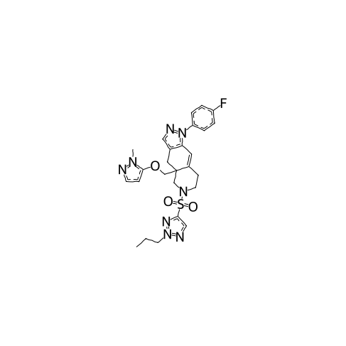 CCCn1ncc(S(=O)(=O)N2CCC3=Cc4c(cnn4-c4ccc(F)cc4)CC3(COc3ccnn3C)C2)n1